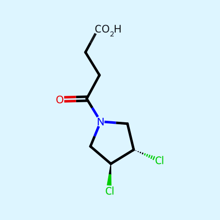 O=C(O)CCC(=O)N1C[C@H](Cl)[C@@H](Cl)C1